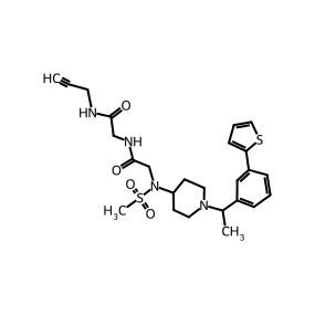 C#CCNC(=O)CNC(=O)CN(C1CCN(C(C)c2cccc(-c3cccs3)c2)CC1)S(C)(=O)=O